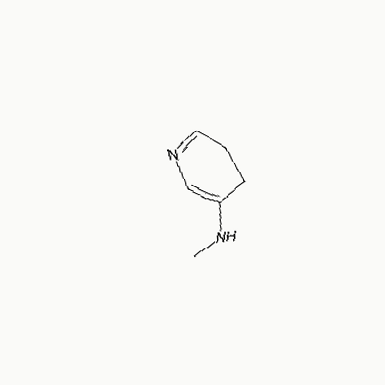 CNC1=CN=CCC1